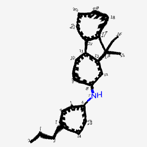 CCCc1ccc(Nc2ccc3c(c2)C(C)(C)c2ccccc2-3)cc1